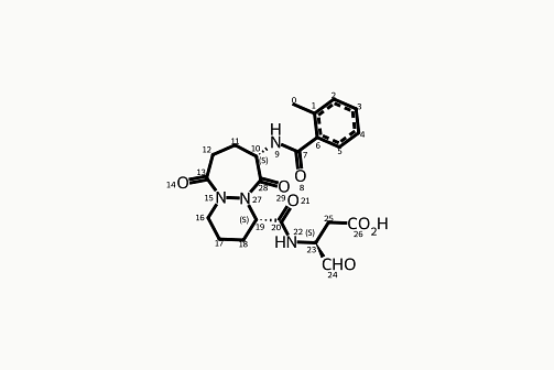 Cc1ccccc1C(=O)N[C@H]1CCC(=O)N2CCC[C@@H](C(=O)N[C@H](C=O)CC(=O)O)N2C1=O